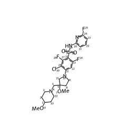 COC1CCN(CC2(OC)CCN(c3cc(F)c(S(=O)(=O)Nc4cccc(F)n4)c(F)c3Cl)C2)CC1